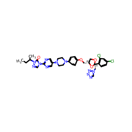 CCC(C)n1ncn(-c2ncc(N3CCN(c4ccc(OC[C@@H]5CO[C@@](Cn6cnnn6)(c6ccc(Cl)cc6Cl)O5)cc4)CC3)cn2)c1=O